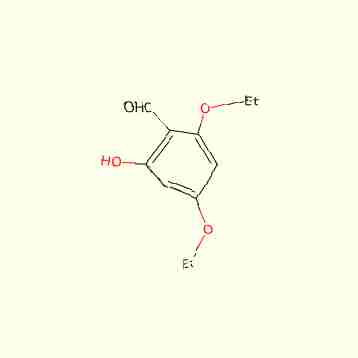 CCOc1cc(O)c(C=O)c(OCC)c1